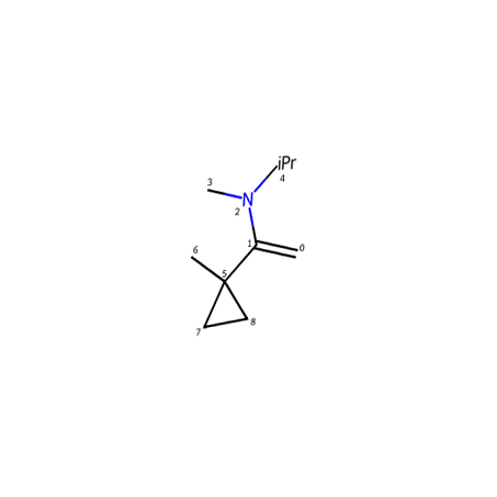 C=C(N(C)C(C)C)C1(C)CC1